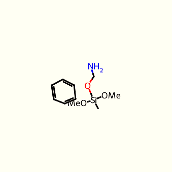 CO[Si](C)(OC)OCN.c1ccccc1